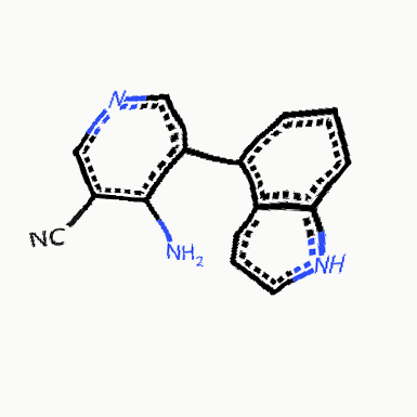 N#Cc1cncc(-c2cccc3[nH]ccc23)c1N